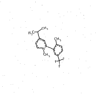 Cc1ccc(C(F)(F)F)cc1-c1cc(C(C)C)cc[n+]1C